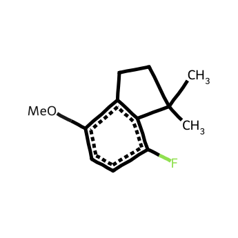 COc1ccc(F)c2c1CCC2(C)C